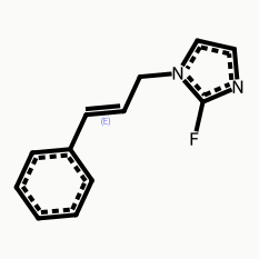 Fc1nccn1C/C=C/c1ccccc1